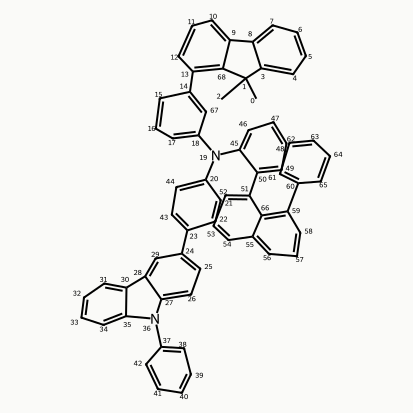 CC1(C)c2ccccc2-c2cccc(-c3cccc(N(c4ccc(-c5ccc6c(c5)c5ccccc5n6-c5ccccc5)cc4)c4ccccc4-c4cccc5cccc(-c6ccccc6)c45)c3)c21